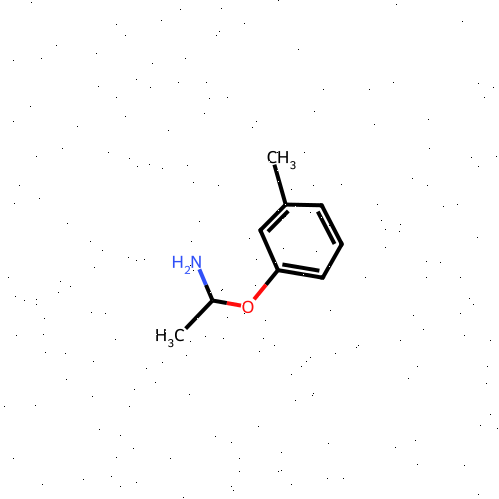 Cc1cccc(OC(C)N)c1